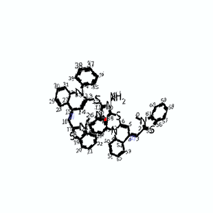 C[n+]1c(/C=C2\C=C(Sc3nnc(SC4=C/C(=C\c5sc6ccccc6[n+]5C)C5C=CC=CC5N4c4ccccc4)n3N)N(c3ccccc3)C3C=CC=CC23)sc2ccccc21